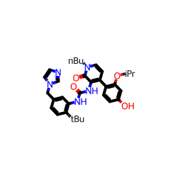 CCCCn1ccc(-c2ccc(O)cc2OC(C)C)c(NC(=O)Nc2cc(Cn3ccnc3)ccc2C(C)(C)C)c1=O